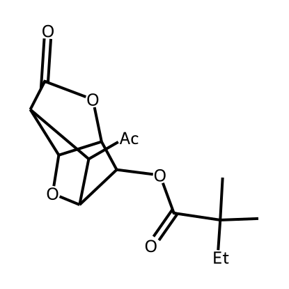 CCC(C)(C)C(=O)OC1C2OC(=O)C3C2OC1C3C(C)=O